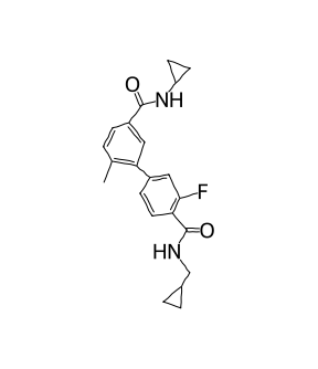 Cc1ccc(C(=O)NC2CC2)cc1-c1ccc(C(=O)NCC2CC2)c(F)c1